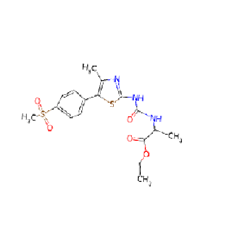 CCOC(=O)C(C)NC(=O)Nc1nc(C)c(-c2ccc(S(C)(=O)=O)cc2)s1